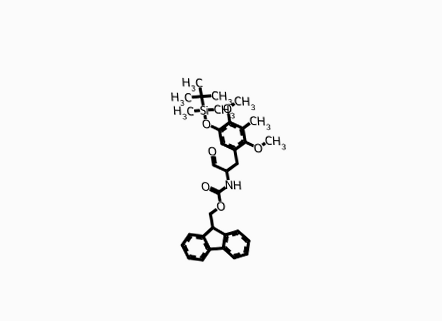 COc1c(CC(C=O)NC(=O)OCC2c3ccccc3-c3ccccc32)cc(O[Si](C)(C)C(C)(C)C)c(OC)c1C